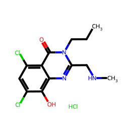 CCCn1c(CNC)nc2c(O)c(Cl)cc(Cl)c2c1=O.Cl